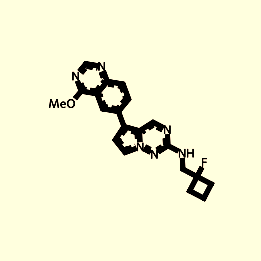 COc1ncnc2ccc(-c3ccn4nc(NCC5(F)CCC5)ncc34)cc12